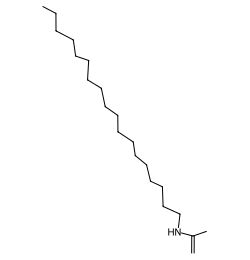 C=C(C)NCCCCCCCCCCCCCCCCCC